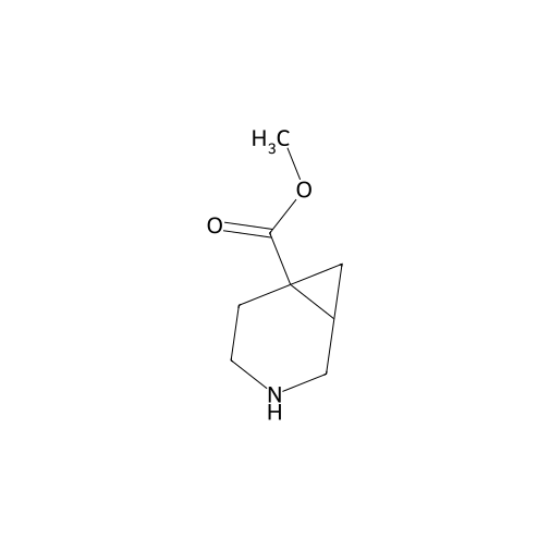 COC(=O)C12CCNCC1C2